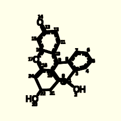 O=C(O)c1ccccc1-c1c2ccc(=O)cc-2oc2c1=CCC(O)C=2